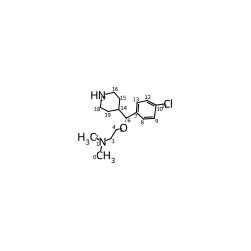 CN(C)CCO[C@@H](c1ccc(Cl)cc1)C1CCNCC1